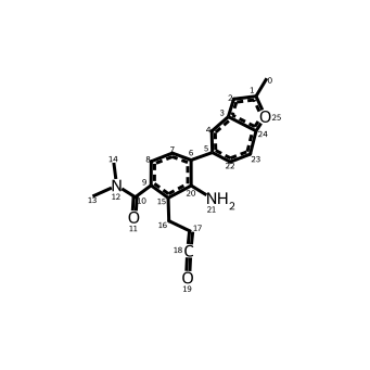 Cc1cc2cc(-c3ccc(C(=O)N(C)C)c(CC=C=O)c3N)ccc2o1